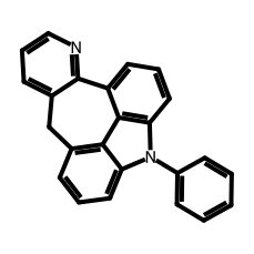 c1ccc(-n2c3cccc4c3c3c(cccc32)-c2ncccc2C4)cc1